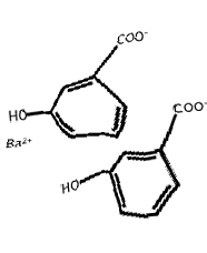 O=C([O-])c1cccc(O)c1.O=C([O-])c1cccc(O)c1.[Ba+2]